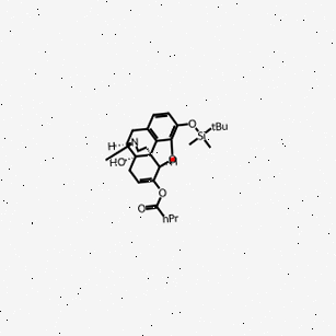 CCCC(=O)OC1=CC[C@@]2(O)[C@H]3Cc4ccc(O[Si](C)(C)C(C)(C)C)c5c4[C@@]2(CCN3C)[C@H]1O5